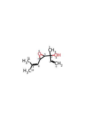 C=CC(C)(O)C1OC1C=C(C)C